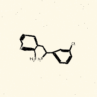 Bc1ncccc1CC(N)c1cccc(Cl)c1